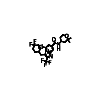 CC1(C)CC(NC(=O)c2cc(Cl)n3c(CC4CCC(F)(F)CC4)c(C(F)(F)F)nc3c2)CCO1